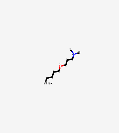 CCCCCCCCCCOCCCN(C)C